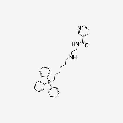 O=C(NCCNCCCCCC[P+](c1ccccc1)(c1ccccc1)c1ccccc1)c1cccnc1